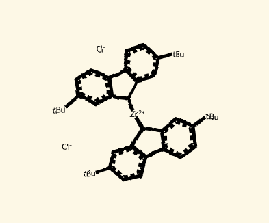 CC(C)(C)c1ccc2c(c1)[CH]([Zr+2][CH]1c3cc(C(C)(C)C)ccc3-c3ccc(C(C)(C)C)cc31)c1cc(C(C)(C)C)ccc1-2.[Cl-].[Cl-]